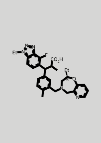 CC[C@@H]1CN(Cc2cc(C(c3ccc4c(nnn4CC)c3F)C(C)C(=O)O)ccc2C)Cc2ncccc2O1